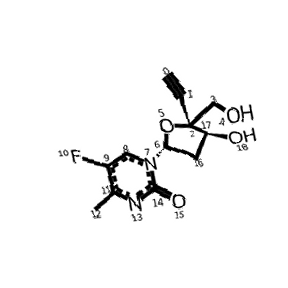 C#C[C@]1(CO)O[C@@H](n2cc(F)c(C)nc2=O)C[C@@H]1O